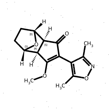 COC1=C(c2c(C)noc2C)C(=O)[C@H]2[C@@H]1[C@@H]1CC[C@H]2O1